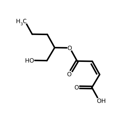 CCCC(CO)OC(=O)/C=C\C(=O)O